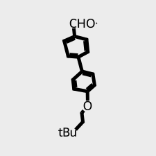 CC(C)(C)CCOc1ccc(-c2ccc([C]=O)cc2)cc1